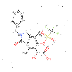 Cc1c2c(c(C)c(C(O)C(=O)O)c1OS(=O)(=O)C(F)(F)F)C(=O)N(Cc1ccccc1)C2